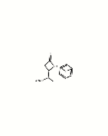 CC(=O)NC(I)C1CC(=O)N1.c1cc2cc(c1)O2